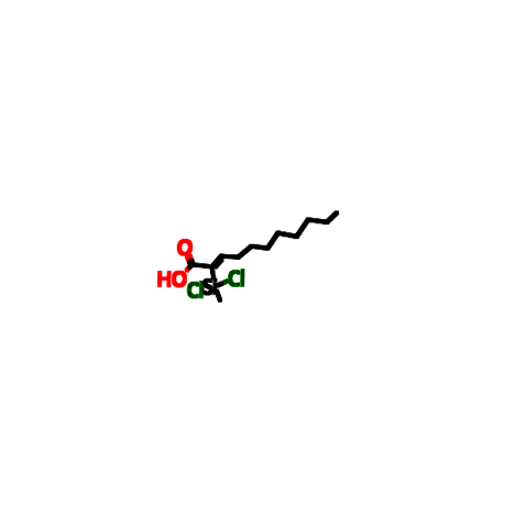 CCCCCCCCC=C(C(=O)O)[Si](C)(Cl)Cl